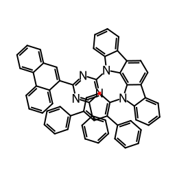 c1ccc(-c2ccc(-n3c4ccccc4c4ccc5c6ccccc6n(-c6nc(-c7ccccc7)nc(-c7cc8ccccc8c8ccccc78)n6)c5c43)c(-c3ccccc3)c2)cc1